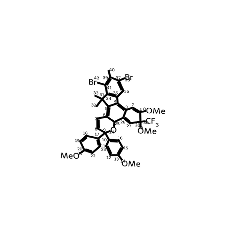 COC1=CC2=C3C(=C4C=CC(c5ccc(OC)cc5)(c5ccc(OC)cc5)OC4C2=CC1(OC)C(F)(F)F)C(C)(C)c1c3cc(Br)c(C)c1Br